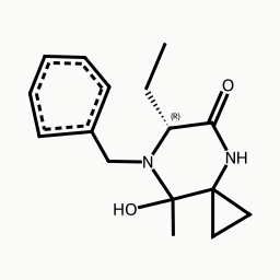 CC[C@@H]1C(=O)NC2(CC2)C(C)(O)N1Cc1ccccc1